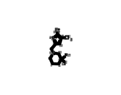 CCc1sc(CN2CCCC(F)(F)C2)cc1C(F)(F)F